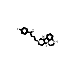 O=C(CCCN1CC[C@H]2[C@@H](C1)c1cccc3c1N2CCN3)c1ccc(F)cc1